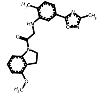 COc1cccc2c1CCN2C(=O)CNc1cc(-c2nc(C)no2)ccc1C